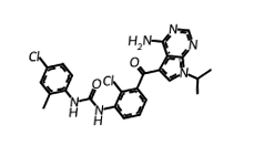 Cc1cc(Cl)ccc1NC(=O)Nc1cccc(C(=O)c2cn(C(C)C)c3ncnc(N)c23)c1Cl